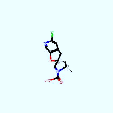 C[C@H]1C[C@]2(Cc3cc(Cl)ncc3O2)CN1C(=O)O